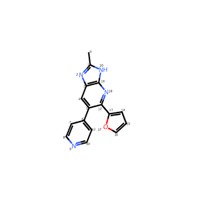 Cc1nc2cc(-c3ccncc3)c(-c3ccco3)nc2[nH]1